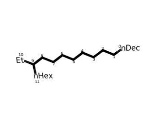 [CH2]CCCCCCCCCCCCCCCCCC(CC)CCCCC[CH2]